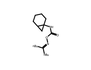 CCCCC(CCCC)=NOC(=O)NC12CCCCC1C2